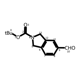 CC(C)(C)OC(=O)N1Cc2ccc(C=O)cc2C1